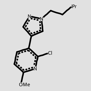 COc1ccc(-c2cnn(CCC(C)C)c2)c(Cl)n1